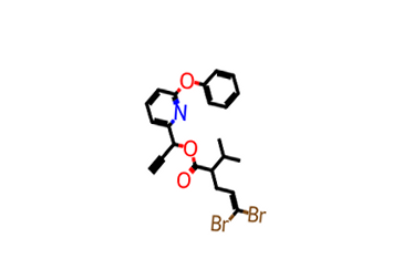 C#CC(OC(=O)C(CC=C(Br)Br)C(C)C)c1cccc(Oc2ccccc2)n1